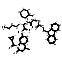 Cc1cc(=O)n(C(=O)C2CC2)c2cc(NC(=O)[C@H](CCCCN)NC(=O)[C@H](CC3CCCCC3)NC(=O)OCC3c4ccccc4-c4ccccc43)ccc12